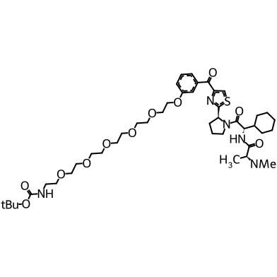 CN[C@@H](C)C(=O)N[C@H](C(=O)N1CCC[C@H]1c1nc(C(=O)c2cccc(OCCOCCOCCOCCOCCOCCNC(=O)OC(C)(C)C)c2)cs1)C1CCCCC1